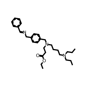 CCCN(CCC)CCCCN(CCC(=O)OCC)Cc1ccc(CN=Cc2ccccc2)cc1